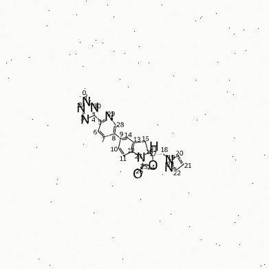 Cn1nnc(-c2ccc(-c3ccc4c(c3)C[C@H]3[C@H](Cn5cccn5)OC(=O)N43)cn2)n1